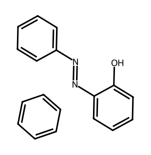 Oc1ccccc1N=Nc1ccccc1.c1ccccc1